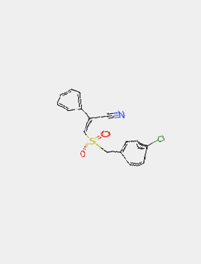 N#CC(=CS(=O)(=O)Cc1ccc(Cl)cc1)c1ccccc1